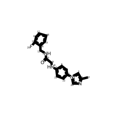 Cc1cn(-c2ccc(NCC(=O)NCc3ccccc3F)cc2)cn1